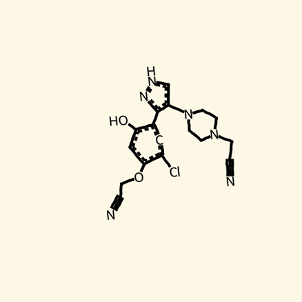 N#CCOc1cc(O)c(-c2n[nH]cc2N2CCN(CC#N)CC2)cc1Cl